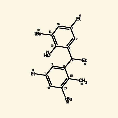 CCc1cc(C(CC)c2cc(CC)cc(C(C)(C)C)c2O)c(C)c(C(C)(C)C)c1